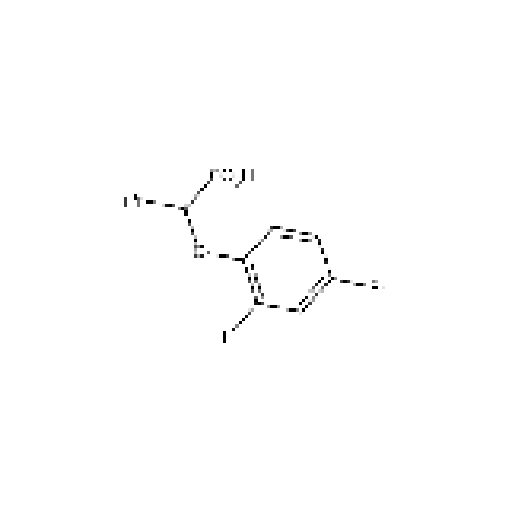 CC(C)C(Oc1ccc(Br)cc1F)C(=O)O